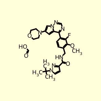 COc1c(CNC(=O)c2ccn(C(C)(C)C)n2)ccc(-c2ncnn3cc(N4CCOCC4)cc23)c1F.O=CO